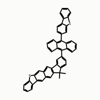 CC1(C)c2ccc(-c3c4ccccc4c(-c4ccc5c(c4)sc4ccccc45)c4ccccc34)cc2-c2cc3cc4sc5ccccc5c4cc3cc21